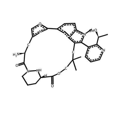 CO[C@@H](C)c1ncccc1-c1c2c3cc(ccc3n1C)-c1nc(co1)C[C@H](N)C(=O)N1CCC[C@H](N1)C(=O)OCC(C)(C)C2